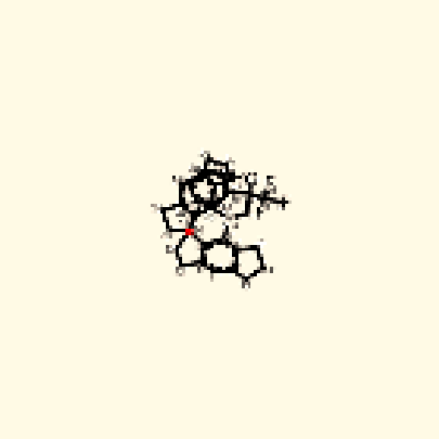 OC(CP(c1c2c(cc3c1CCC3)CCC2)c1c2c(cc3c1CCC3)CCC2)(c1ccccc1)C(F)(F)F